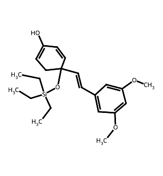 CC[Si](CC)(CC)OC1(/C=C/c2cc(OC)cc(OC)c2)C=CC(O)=CC1